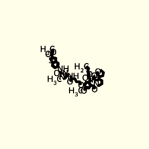 C=CCOC(=O)N1c2cc(OCCCC(=O)Nc3cn(C)c(C(=O)Nc4ccc5sc(C(=O)OC)cc5c4)n3)c(OC)cc2C(=O)N2CCCC[C@H]2C1OC1CCCCO1